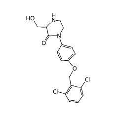 O=C1C(CO)NCCN1c1ccc(OCc2c(Cl)cccc2Cl)cc1